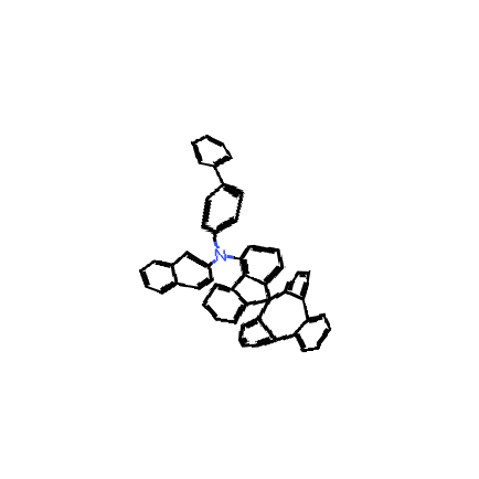 c1ccc(-c2ccc(N(c3ccc4ccccc4c3)c3cccc4c3-c3ccccc3C43c4ccccc4-c4ccccc4-c4ccccc43)cc2)cc1